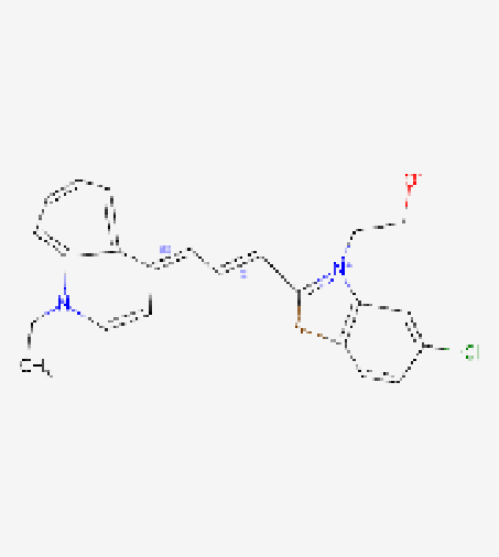 CCN1C=C/C(=C\C=C\c2sc3ccc(Cl)cc3[n+]2CC[O-])c2ccccc21